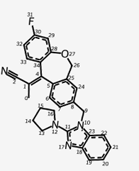 C/C(C#N)=C1\c2ccc(Cn3c(N4CCCC4)nc4ccccc43)cc2COc2cc(F)ccc21